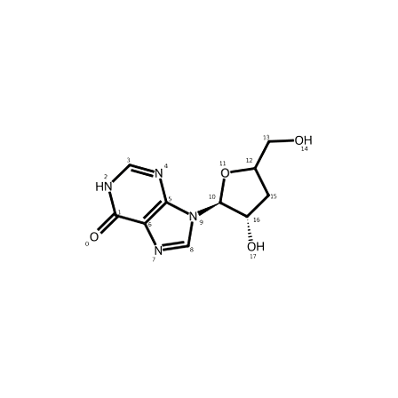 O=c1[nH]cnc2c1ncn2[C@H]1OC(CO)C[C@@H]1O